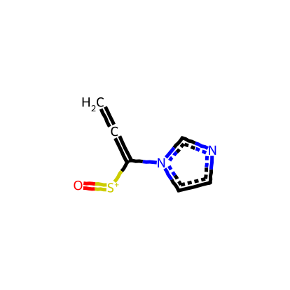 C=C=C([S+]=O)n1ccnc1